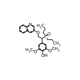 CCCP(=O)(CCC)C(COc1cnc2ccccc2c1)c1cc(OC)c(O)c(OC)c1